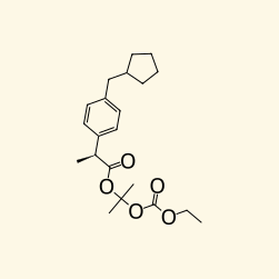 CCOC(=O)OC(C)(C)OC(=O)[C@@H](C)c1ccc(CC2CCCC2)cc1